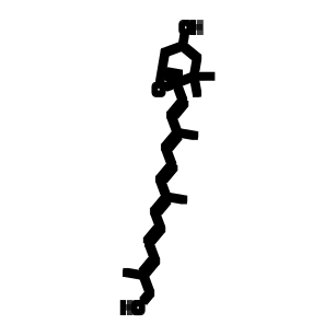 CC(/C=C/C=C(C)/C=C/C12OC1(C)CC(O)CC2(C)C)=C\C=C\C=C(/C)CO